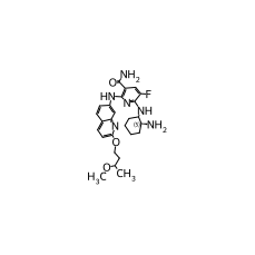 COC(C)CCOc1ccc2ccc(Nc3nc(NC4CCCC[C@@H]4N)c(F)cc3C(N)=O)cc2n1